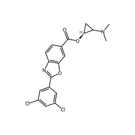 CN(C)C1C[C@@H]1OC(=O)c1ccc2nc(-c3cc(Cl)cc(Cl)c3)oc2c1